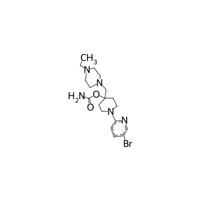 CCN1CCN(CC2(OC(N)=O)CCN(c3ccc(Br)cn3)CC2)CC1